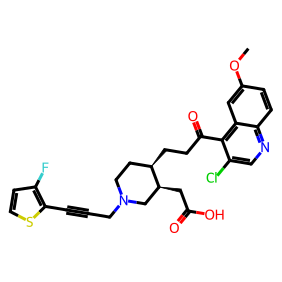 COc1ccc2ncc(Cl)c(C(=O)CC[C@@H]3CCN(CC#Cc4sccc4F)C[C@@H]3CC(=O)O)c2c1